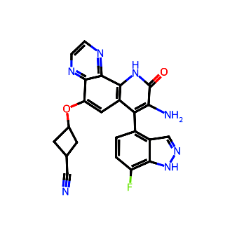 N#CC1CC(Oc2cc3c(-c4ccc(F)c5[nH]ncc45)c(N)c(=O)[nH]c3c3nccnc23)C1